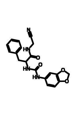 N#CCNC(=O)C(Cc1ccccc1)NC(=O)Nc1ccc2c(c1)OCO2